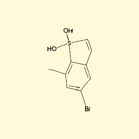 Cc1cc(Br)cc2c1S(O)(O)C=C2